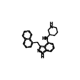 c1ccc2c(Cc3n[nH]c4cccc(NC5CCCNC5)c34)cccc2c1